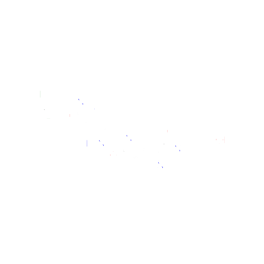 CC(/C=C(\N)C(C)N1Cc2c(ccnc2C(=O)NCCCO)C1=O)=C(/N)OCC(C)(F)F